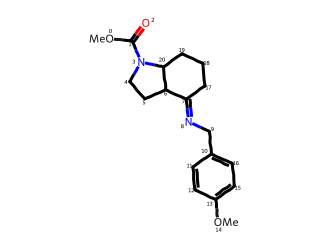 COC(=O)N1CCC2C(=NCc3ccc(OC)cc3)CCCC21